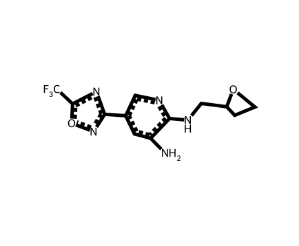 Nc1cc(-c2noc(C(F)(F)F)n2)cnc1NCC1CCO1